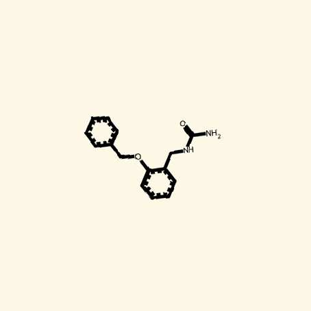 NC(=O)NCc1ccccc1OCc1ccccc1